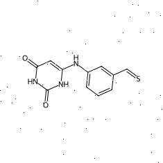 O=c1cc(Nc2cccc(C=S)c2)[nH]c(=O)[nH]1